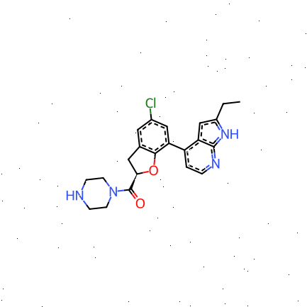 CCc1cc2c(-c3cc(Cl)cc4c3O[C@@H](C(=O)N3CCNCC3)C4)ccnc2[nH]1